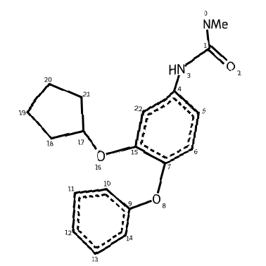 CNC(=O)Nc1ccc(Oc2ccccc2)c(OC2CCCC2)c1